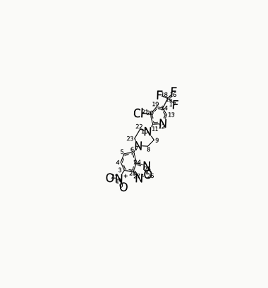 O=[N+]([O-])c1ccc(N2CCN(c3ncc(C(F)(F)F)cc3Cl)CC2)c2nonc12